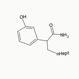 CCCCCCCCC(C(N)=O)c1cccc(O)c1